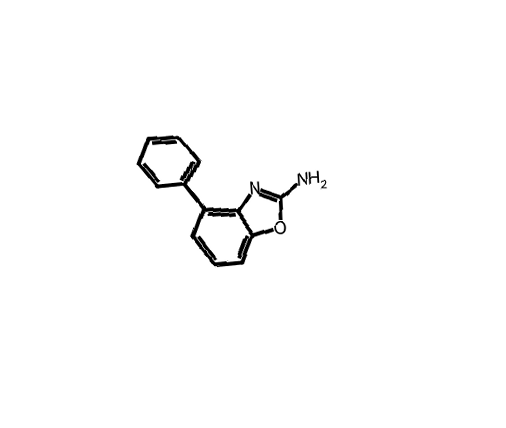 Nc1nc2c(-c3ccccc3)cccc2o1